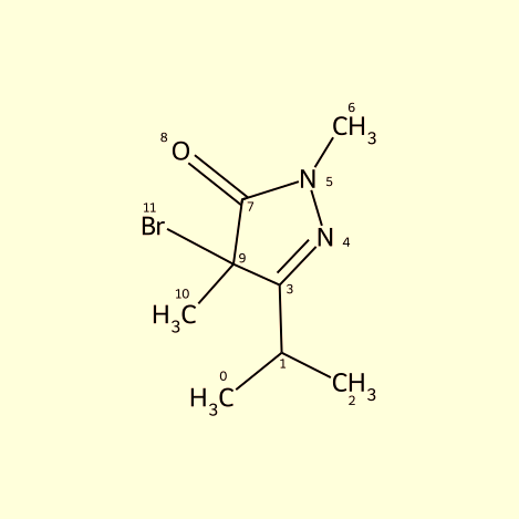 CC(C)C1=NN(C)C(=O)C1(C)Br